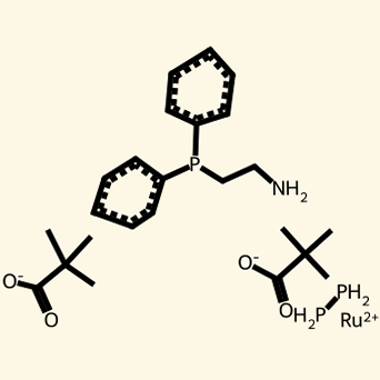 CC(C)(C)C(=O)[O-].CC(C)(C)C(=O)[O-].NCCP(c1ccccc1)c1ccccc1.PP.[Ru+2]